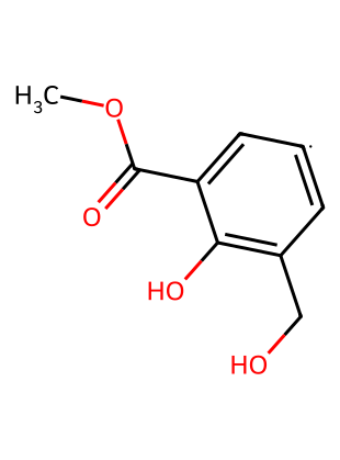 COC(=O)c1c[c]cc(CO)c1O